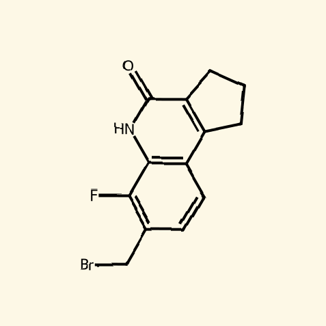 O=c1[nH]c2c(F)c(CBr)ccc2c2c1CCC2